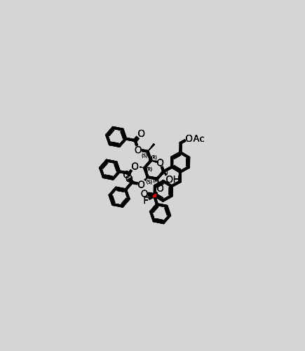 CC(=O)OCc1ccc(Cc2ccc(F)cc2)c([C@@]2(O)O[C@H]([C@H](C)OC(=O)c3ccccc3)[C@@H](OC(=O)c3ccccc3)[C@H](OC(=O)c3ccccc3)[C@H]2OC(=O)c2ccccc2)c1